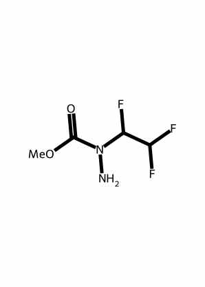 COC(=O)N(N)C(F)C(F)F